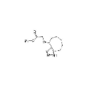 CC(C)OC(=O)COC1CCCCCc2[nH]nnc21